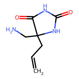 C=CCC1(CN)NC(=O)NC1=O